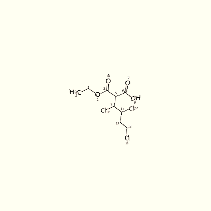 CCOC(=O)C(C(=O)O)C(Cl)C(Cl)CCCl